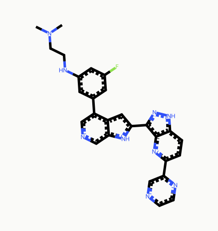 CN(C)CCNc1cc(F)cc(-c2cncc3[nH]c(-c4n[nH]c5ccc(-c6cnccn6)nc45)cc23)c1